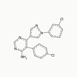 Nc1ncnc(-c2cnn(-c3cccc(Cl)c3)c2)c1-c1ccc(Cl)cc1